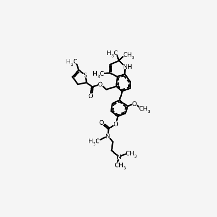 COc1cc(OC(=O)N(C)CCN(C)C)ccc1-c1ccc2c(c1COC(=O)C1CC=C(C)S1)C(C)=CC(C)(C)N2